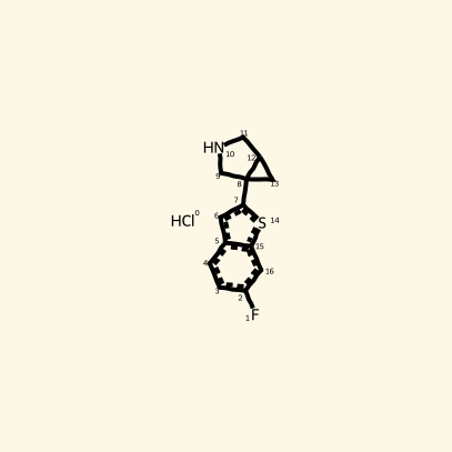 Cl.Fc1ccc2cc(C34CNCC3C4)sc2c1